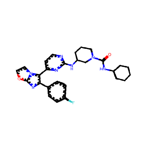 O=C(NC1CCCCC1)N1CCCC(Nc2nccc(-c3c(-c4ccc(F)cc4)nc4occn34)n2)C1